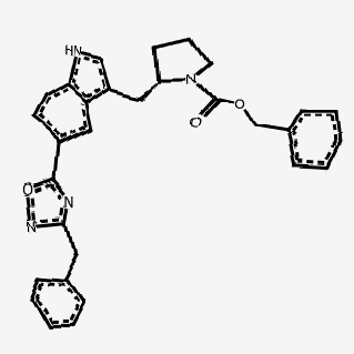 O=C(OCc1ccccc1)N1CCC[C@@H]1Cc1c[nH]c2ccc(-c3nc(Cc4ccccc4)no3)cc12